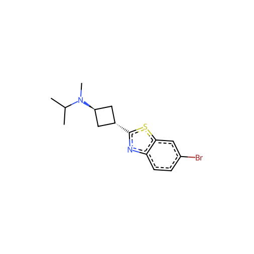 CC(C)N(C)[C@H]1C[C@H](c2nc3ccc(Br)cc3s2)C1